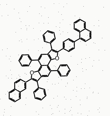 c1ccc(-c2c(-c3ccc(-c4cccc5ccccc45)cc3)oc3c2cc(-c2ccccc2)c2c4oc(-c5ccc6ccccc6c5)c(-c5ccccc5)c4cc(-c4ccccc4)c32)cc1